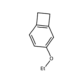 CCOc1ccc2c(c1)CC2